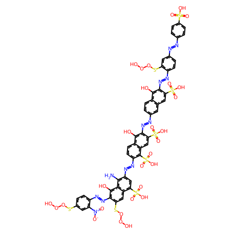 Nc1c(N=Nc2ccc3c(O)c(N=Nc4ccc5c(O)c(N=Nc6ccc(N=Nc7ccc(S(=O)(=O)O)cc7)cc6SOOO)c(S(=O)(=O)O)cc5c4)c(S(=O)(=O)O)cc3c2S(=O)(=O)O)cc(S(=O)(=O)O)c2cc(SOOO)c(N=Nc3ccc(SOOO)cc3[N+](=O)[O-])c(O)c12